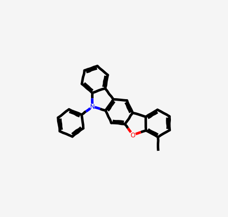 Cc1cccc2c1oc1cc3c(cc12)c1ccccc1n3-c1ccccc1